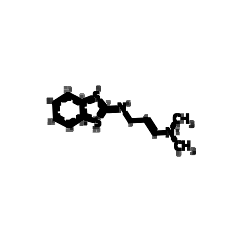 CN(C)C=CCN=c1sc2ccccc2s1